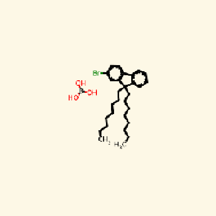 CCCCCCCCC1(CCCCCCCC)c2ccccc2-c2ccc(Br)cc21.OB(O)O